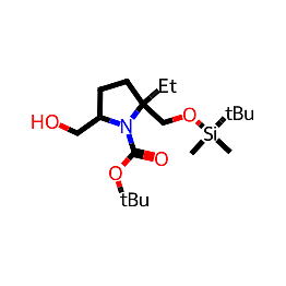 CCC1(CO[Si](C)(C)C(C)(C)C)CCC(CO)N1C(=O)OC(C)(C)C